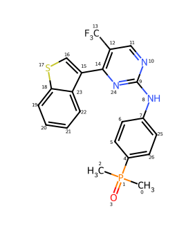 CP(C)(=O)c1ccc(Nc2ncc(C(F)(F)F)c(-c3csc4ccccc34)n2)cc1